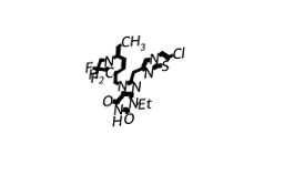 C=C(/C=C\C(=C/C)N1CC(F)(F)C1)Cn1c(Cc2cn3cc(Cl)sc3n2)nc2c1c(=O)[nH]c(=O)n2CC